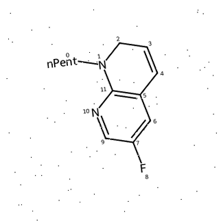 CCCCCN1CC=Cc2cc(F)cnc21